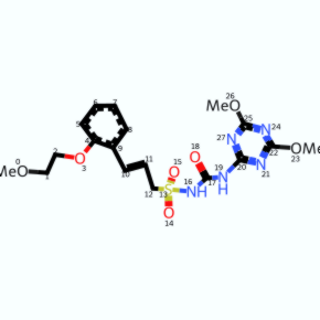 COCCOc1ccccc1C=CCS(=O)(=O)NC(=O)Nc1nc(OC)nc(OC)n1